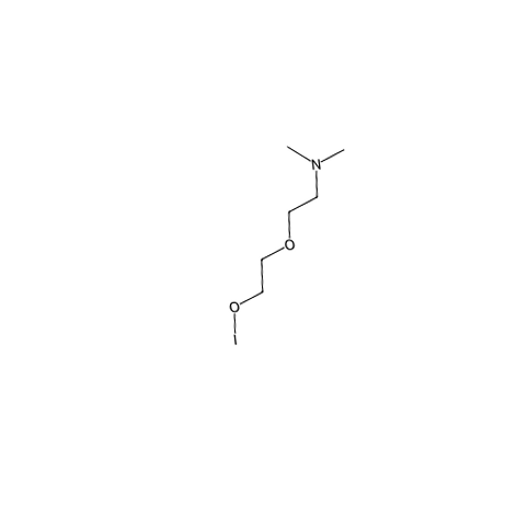 CN(C)CCOCCOI